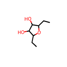 CCC1OC(CC)C(O)C1O